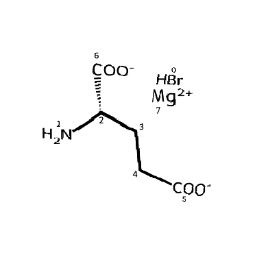 Br.N[C@@H](CCC(=O)[O-])C(=O)[O-].[Mg+2]